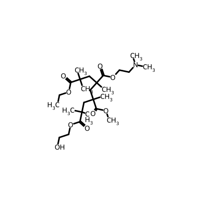 CCOC(=O)C(C)(C)CC(C)(CC(C)(CC(C)(C)C(=O)OCCO)C(=O)OC)C(=O)OCCN(C)C